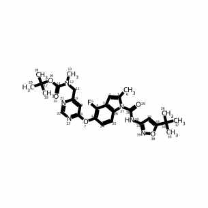 Cc1cc2c(F)c(Oc3cc(CN(C)C(=O)OC(C)(C)C)ncn3)ccc2n1C(=O)Nc1cc(C(C)(C)C)on1